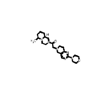 CC1CCC[C@H]2CN(C(=O)CN3CCc4nc(N5CCOCC5)ncc4C3)CCN12